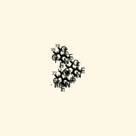 CC(=O)C(C(C)=O)c1c(F)c(F)nc(F)c1F.CC(=O)C(C(C)=O)c1c(F)c(F)nc(F)c1F.CC(=O)C(C(C)=O)c1c(F)c(F)nc(F)c1F.[Fe+3]